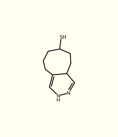 SC1CCCC2=CNN=CC2CC1